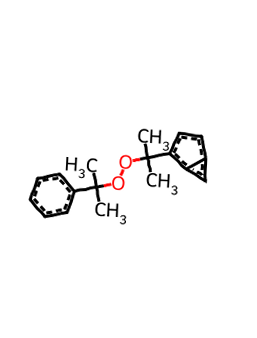 CC(C)(OOC(C)(C)c1ccc2cc1-2)c1ccccc1